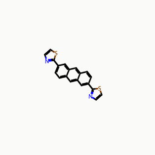 c1csc(-c2ccc3cc4cc(-c5nccs5)ccc4cc3c2)n1